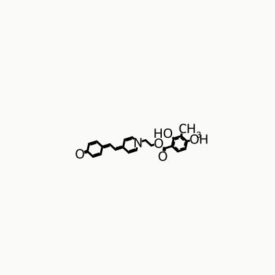 Cc1c(O)ccc(C(=O)OCCN2C=CC(=CC=C3C=CC(=O)C=C3)C=C2)c1O